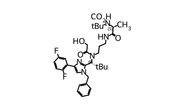 C[C@@H](C(=O)NCCCN(C(=O)CO)[C@@H](c1nc(-c2cc(F)ccc2F)cn1Cc1ccccc1)C(C)(C)C)N(C(=O)O)C(C)(C)C